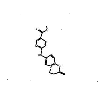 C=C1CCc2cc(Nc3ccc(C(=O)OC)cc3)ccc2N1